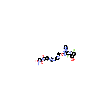 CCc1c(F)ccc2cc(O)cc(-c3ncc4c(N5CC6CCC(C5)N6)nc(OCC5(CN6CCC(CN7CCN(c8ccc9c(c8)CN([C@H]8CCC(=O)NC8=O)C9=O)CC7)CC6)CC5)nc4c3F)c12